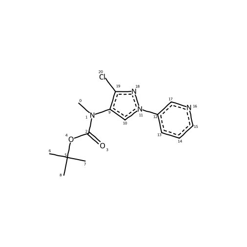 CN(C(=O)OC(C)(C)C)c1cn(-c2cccnc2)nc1Cl